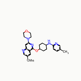 COc1cnc2cc(N3CCOCC3)nc(OC3CCC(Nc4ccc(C)cn4)CC3)c2c1